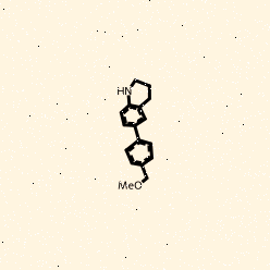 COCc1ccc(-c2ccc3c(c2)CCCN3)cc1